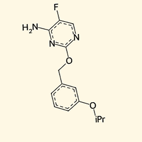 CC(C)Oc1cccc(COc2ncc(F)c(N)n2)c1